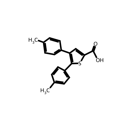 Cc1ccc(-c2cc(C(=O)O)sc2-c2ccc(C)cc2)cc1